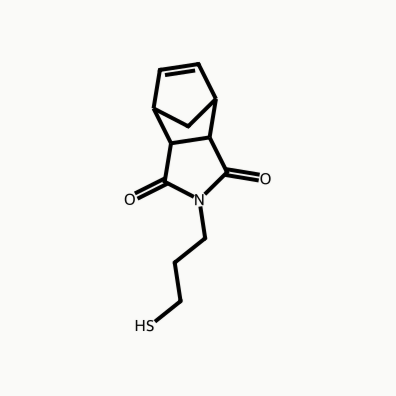 O=C1C2C3C=CC(C3)C2C(=O)N1CCCS